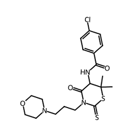 CC1(C)SC(=S)N(CCCN2CCOCC2)C(=O)C1NC(=O)c1ccc(Cl)cc1